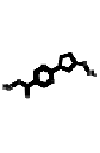 COC(=O)c1cnc(N2CC[C@@H](OC)C2)nc1